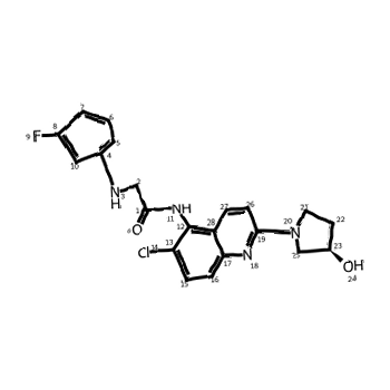 O=C(CNc1cccc(F)c1)Nc1c(Cl)ccc2nc(N3CC[C@@H](O)C3)ccc12